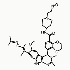 COc1cc2c3c([nH]c2cc1/C(C)=C(\C)ON=C(C)C)N=C(C)N(C)C3c1ccc(C(=O)NC2CCN(CCN=O)CC2)c2c1OCCO2